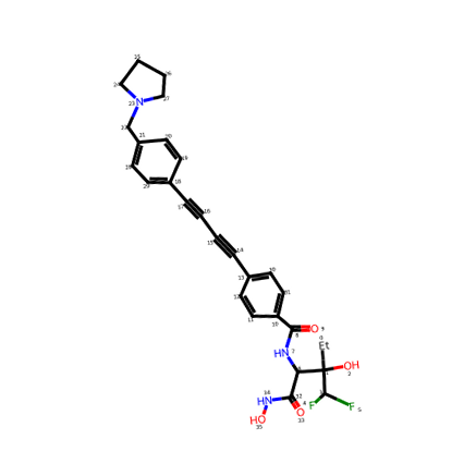 CCC(O)(C(F)F)C(NC(=O)c1ccc(C#CC#Cc2ccc(CN3CCCC3)cc2)cc1)C(=O)NO